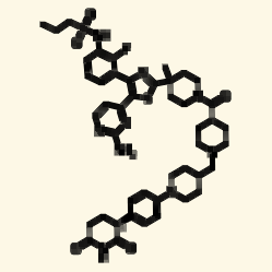 CCCS(=O)(=O)Nc1cccc(-c2nc(C3(C)CCN(C(=O)C4CCN(CC5CCN(c6ccc([C@@H]7CCC(=O)NC7=O)cc6)CC5)CC4)CC3)sc2-c2ccnc(N)n2)c1F